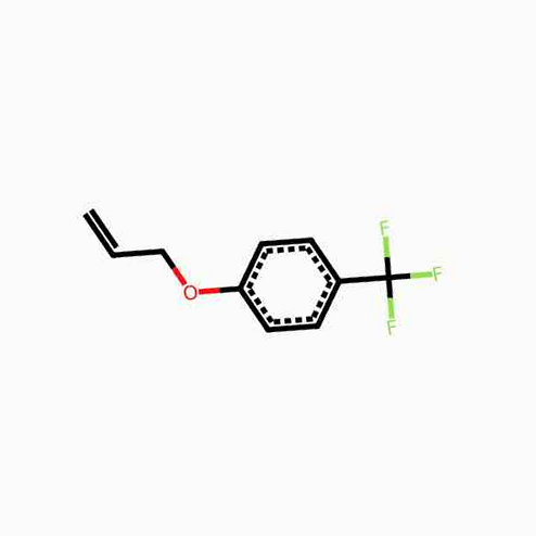 C=CCOc1ccc(C(F)(F)F)cc1